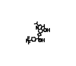 CC(C)c1cc(I)c2c(n1)CC1(CC2O)CC(C(O)c2ccc(C(F)(F)F)cc2)C1